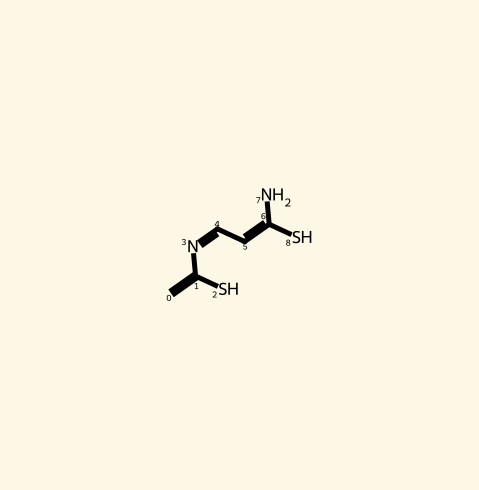 C=C(S)/N=C\C=C(/N)S